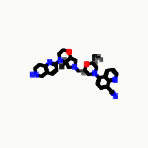 C[C@@H]1CN(c2ccc(C#N)c3ncccc23)C[C@H](CN2CC3OCCN(c4ccc5c(n4)CCNC5)[C@H]3C2)O1